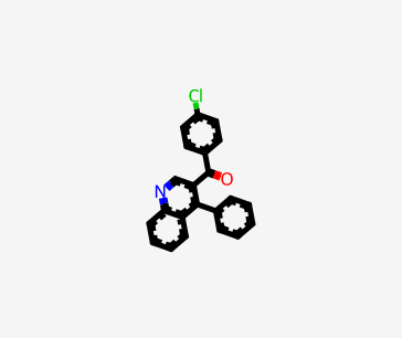 O=C(c1ccc(Cl)cc1)c1cnc2ccccc2c1-c1ccccc1